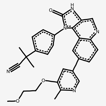 COCCOc1cc(-c2ccc3ncc4[nH]c(=O)n(-c5ccc(C(C)(C)C#N)cc5)c4c3c2)cnc1C